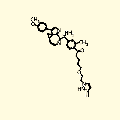 COc1ccc(C2=CN=C3C([C@H](N)c4ccc(C(=O)CCCCOCCN5C=CNN5)c(C)c4)=NC=CC4CC234)cc1